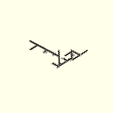 CCCCCCCCOC(CCCCCCCN)OCCCCCCC(C)C(CCCCCCC)COC(=O)CCCCCCCN(CCO)CCCCCCCC(OC(C)CCCCCC)OC(C)CCCCCCC(CCCCC)CCCOC(=O)CCCCCCCN(CCO)CCCCCCCCCC(CCCCCCCC)CCCCCCCC